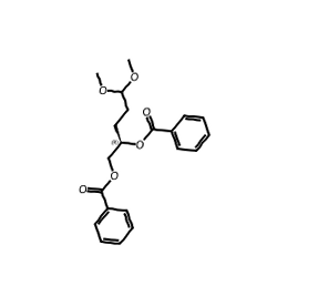 COC(CC[C@H](COC(=O)c1ccccc1)OC(=O)c1ccccc1)OC